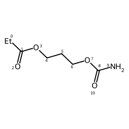 CCC(=O)OCCCOC(N)=O